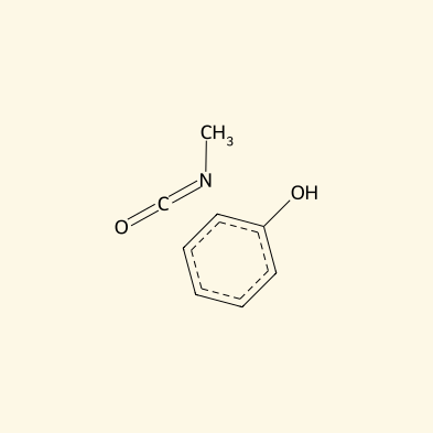 CN=C=O.Oc1ccccc1